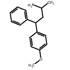 COc1ccc(C([CH]C(C)N)c2ccccc2)cc1